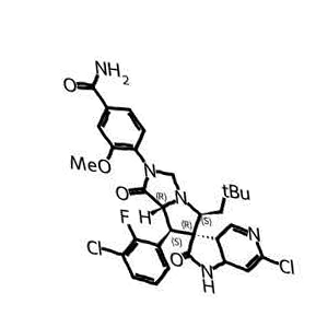 COc1cc(C(N)=O)ccc1N1CN2[C@@H](CC(C)(C)C)[C@@]3(C(=O)NC4C=C(Cl)N=CC43)[C@@H](c3cccc(Cl)c3F)[C@@H]2C1=O